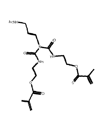 C=C(C)C(=O)OCCNC(=O)N(CCCNC(C)=O)C(=O)NCCOC(=O)C(=C)C